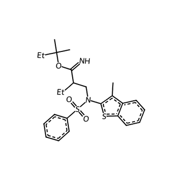 CCC(CN(c1sc2ccccc2c1C)S(=O)(=O)c1ccccc1)C(=N)OC(C)(C)CC